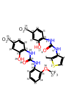 Cc1sccc1NC(=O)Nc1ccc([N+](=O)[O-])cc1O.O=C(Nc1ccc([N+](=O)[O-])cc1O)Nc1ccccc1OC(F)(F)F